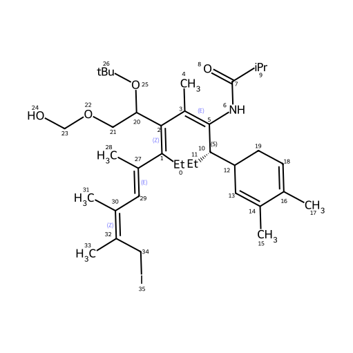 CCC(=C(\C(C)=C(\NC(=O)C(C)C)[C@@H](CC)C1C=C(C)C(C)=CC1)C(COCO)OC(C)(C)C)/C(C)=C/C(C)=C(/C)CI